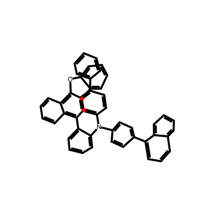 c1ccc(-c2ccc(N(c3ccc(-c4cccc5ccccc45)cc3)c3ccccc3-c3cc4c5ccccc5oc4c4ccccc34)cc2)cc1